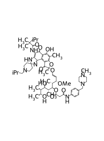 CO[C@@H](/C=C/O[C@@]1(C)Oc2c(C)c(O)c3c(c2C1=O)C1=NC2(CCN(CC(C)C)CC2)NC1=C(NC(=O)C(C)(C)C(C)C)C3=O)[C@@H](C)[C@@H](OC(=O)CC(=O)Nc1ccc(CN2CCN(C)CC2)cc1)[C@H](C)[C@H](O)[C@H](C)[C@H](C)O